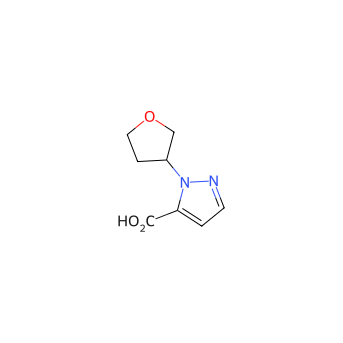 O=C(O)c1ccnn1C1CCOC1